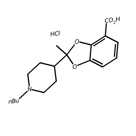 CCCCN1CCC(C2(C)Oc3cccc(C(=O)O)c3O2)CC1.Cl